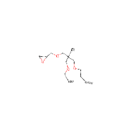 CCC(C)COCC(CC)(COCCOC)COCC1CO1